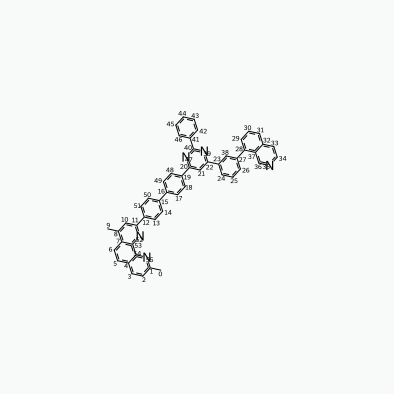 Cc1ccc2ccc3c(C)cc(-c4ccc(-c5ccc(-c6cc(-c7cccc(-c8cccc9ccncc89)c7)nc(-c7ccccc7)n6)cc5)cc4)nc3c2n1